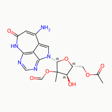 CC(=O)OC[C@H]1O[C@@H](n2cc3c4c(ncnc42)NC(=O)C=C3N)C(C)(OC=O)[C@@H]1O